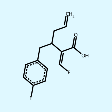 C=CCC(Cc1ccc(F)cc1)C(=CF)C(=O)O